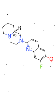 COc1cc2ccc(N3CCN4CCCC[C@@H]4C3)nc2cc1F